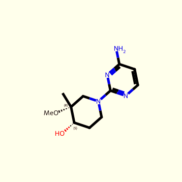 CO[C@]1(C)CN(c2nccc(N)n2)CC[C@@H]1O